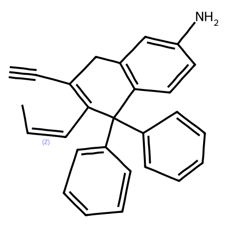 C#CC1=C(/C=C\C)C(c2ccccc2)(c2ccccc2)c2ccc(N)cc2C1